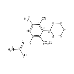 CCOC(=O)c1c(CN=C(N)S)nc(C)c(C#N)c1C1CCCCC1